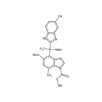 CNC(c1nc2cc(C#N)ccc2[nH]1)(c1c(OC)cc(C)c2c1ccn2C(=O)OC(C)(C)C)C(F)(F)F